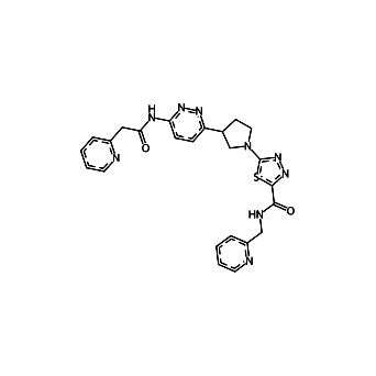 O=C(Cc1ccccn1)Nc1ccc(C2CCN(c3nnc(C(=O)NCc4ccccn4)s3)C2)nn1